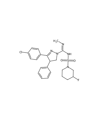 CN=C(NS(=O)(=O)N1CCCC(F)C1)N1CC(c2ccccc2)C(c2ccc(Cl)cc2)=N1